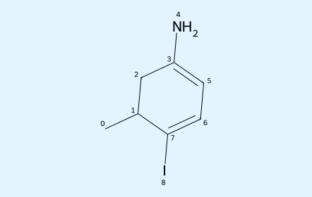 CC1CC(N)=CC=C1I